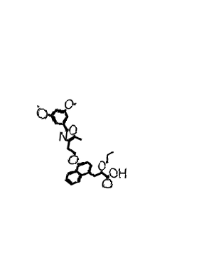 CCCOC(Cc1ccc(OCCc2nc(-c3cc(OC)cc(OC)c3)oc2C)c2ccccc12)C(=O)O